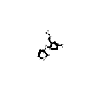 ON=Cc1cc(Br)ccc1O[C@@H]1C=CCOC1